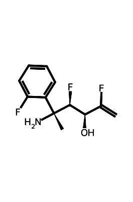 C=C(F)[C@@H](O)[C@H](F)[C@](C)(N)c1ccccc1F